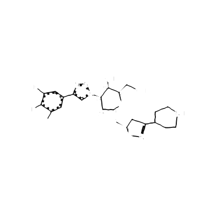 OC[C@H]1O[C@H](C[C@H]2CC(C3CCNCC3)=NO2)[C@H](O)[C@@H](n2cc(-c3cc(F)c(F)c(F)c3)nn2)[C@H]1O